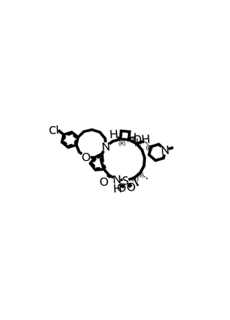 C[C@@H]1[C@@H](C)CCC[C@](O)(C[C@H]2CCCN(C)C2)[C@@H]2CC[C@H]2CN2CCCCc3cc(Cl)ccc3COc3ccc(cc32)C(=O)NS1(=O)=O